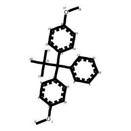 COc1ccc(C(c2ccccc2)(c2ccc(OC)cc2)C(C)(C)C)cc1